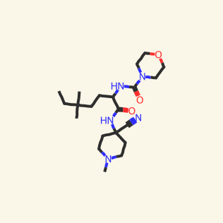 CCC(C)(C)CCC(NC(=O)N1CCOCC1)C(=O)NC1(C#N)CCN(C)CC1